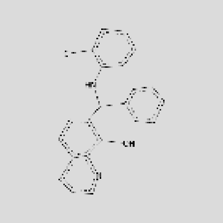 Oc1c(C(Nc2ccccc2Cl)c2ccccc2)ccc2cccnc12